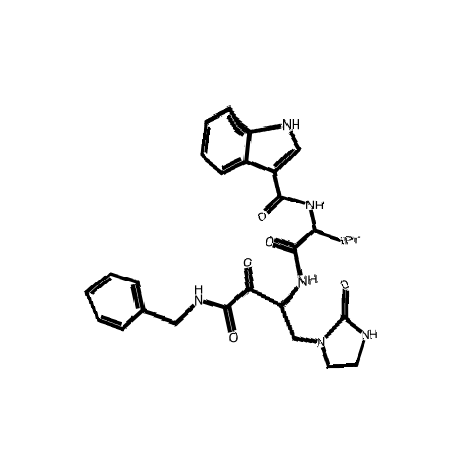 CC(C)C(NC(=O)c1c[nH]c2ccccc12)C(=O)NC(CN1CCNC1=O)C(=O)C(=O)NCc1ccccc1